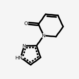 O=C1C=CCCN1c1cc[nH]n1